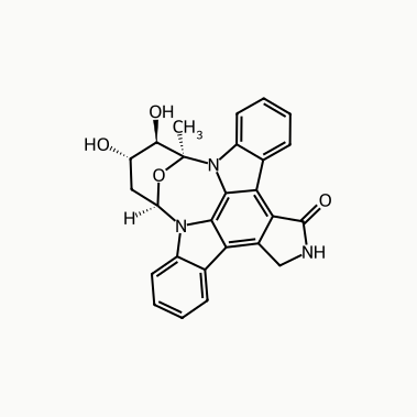 C[C@]12O[C@H](C[C@H](O)[C@H]1O)n1c3ccccc3c3c4c(c5c6ccccc6n2c5c31)C(=O)NC4